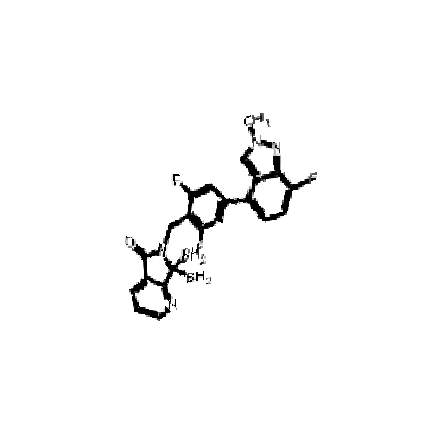 BC1(B)c2ncccc2C(=O)N1Cc1c(F)cc(-c2ccc(F)c3nn(C)cc23)cc1F